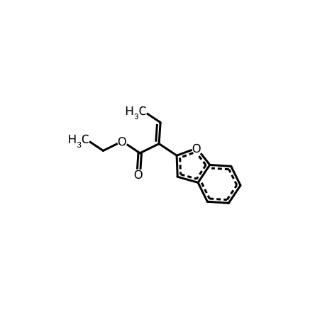 CC=C(C(=O)OCC)c1cc2ccccc2o1